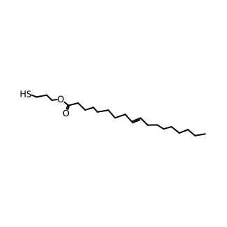 CCCCCCCCC=CCCCCCCCC(=O)OCCCS